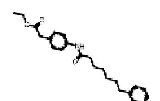 CCOC(=O)Cc1ccc(NC(=O)CCCCCCc2ccccc2)cc1